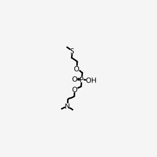 CSCCOCP(=O)(O)COCCN(C)C